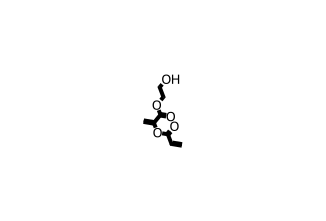 C=CC(=O)OC(=C)C(=O)OCCO